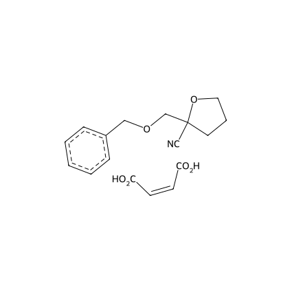 N#CC1(COCc2ccccc2)CCCO1.O=C(O)/C=C\C(=O)O